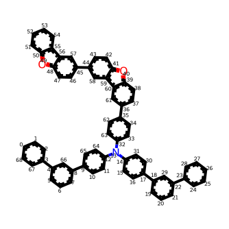 c1ccc(-c2cccc(-c3ccc(N(c4ccc(-c5cccc(-c6ccccc6)c5)cc4)c4ccc(-c5ccc6oc7ccc(-c8ccc9oc%10ccccc%10c9c8)cc7c6c5)cc4)cc3)c2)cc1